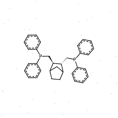 c1ccc(P(C[C@@H]2C3CCC(C3)[C@H]2CP(c2ccccc2)c2ccccc2)c2ccccc2)cc1